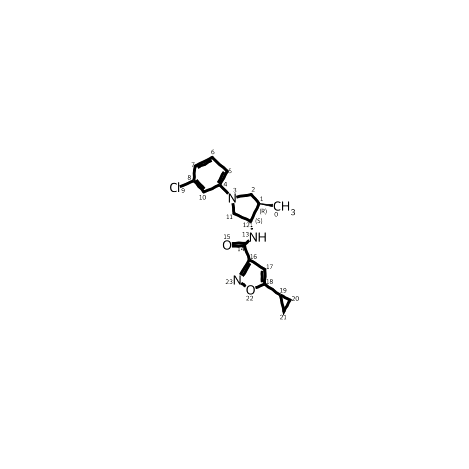 C[C@@H]1CN(c2cccc(Cl)c2)C[C@H]1NC(=O)c1cc(C2CC2)on1